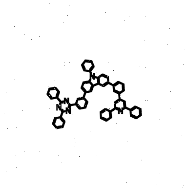 c1ccc(-c2cc(-c3cccc(-c4ccc5c(c4)c4cc(-c6cccc(-c7nc(-c8ccccc8)nc(-c8ccccc8)n7)c6)ccc4n5-c4ccccc4)c3)cc(-c3ccccc3)n2)cc1